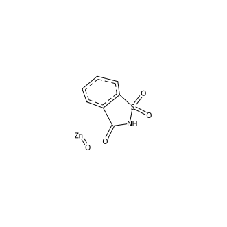 O=C1NS(=O)(=O)c2ccccc21.[O]=[Zn]